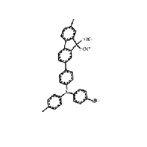 CCCCCCCCC1(CCCCCCCC)c2cc(C)ccc2-c2ccc(-c3ccc(N(c4ccc(C)cc4)c4ccc(C(C)CC)cc4)cc3)cc21